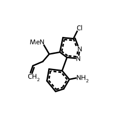 C=CCC(NC)c1cc(Cl)nnc1-c1ccccc1N